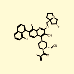 C=C(F)C(=O)N1CCN(C2=C(C#N)C(OC[C@@]34CCCN3C[C@H](F)C4)=NC3C(F)=C(c4cccc5cccc(Cl)c45)C=CC23)C[C@@H]1CC#N